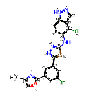 Cc1coc(-c2cc(F)cc(-c3nnc(Nc4ccc5[nH]ncc5c4Cl)s3)c2)n1